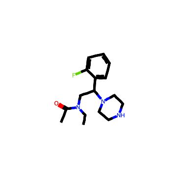 CCN(CC(c1ccccc1F)N1CCNCC1)C(C)=O